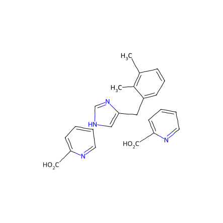 Cc1cccc(Cc2c[nH]cn2)c1C.O=C(O)c1ccccn1.O=C(O)c1ccccn1